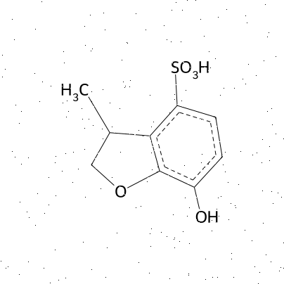 CC1COc2c(O)ccc(S(=O)(=O)O)c21